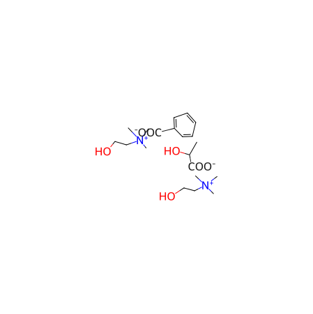 CC(O)C(=O)[O-].C[N+](C)(C)CCO.C[N+](C)(C)CCO.O=C([O-])c1ccccc1